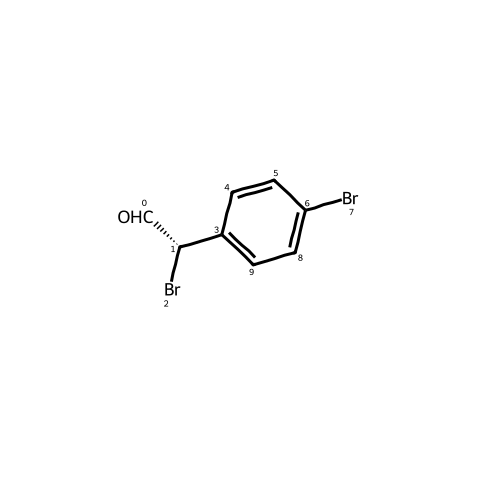 O=C[C@@H](Br)c1ccc(Br)cc1